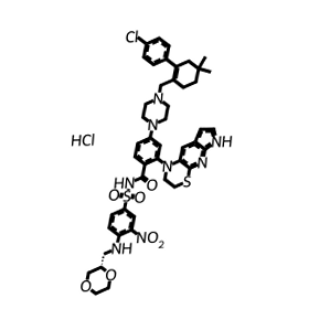 CC1(C)CCC(CN2CCN(c3ccc(C(=O)NS(=O)(=O)c4ccc(NC[C@H]5COCCO5)c([N+](=O)[O-])c4)c(N4CCSc5nc6[nH]ccc6cc54)c3)CC2)=C(c2ccc(Cl)cc2)C1.Cl